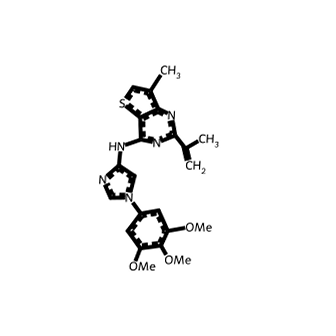 C=C(C)c1nc(Nc2cn(-c3cc(OC)c(OC)c(OC)c3)cn2)c2scc(C)c2n1